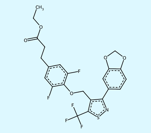 CCOC(=O)CCc1cc(F)c(OCc2c(-c3ccc4c(c3)OCO4)nsc2C(F)(F)F)c(F)c1